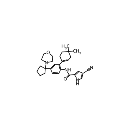 CC1(C)CC=C(c2cc(C3(N4CCOCC4)CCCC3)ccc2NC(=O)c2cc(C#N)c[nH]2)CC1